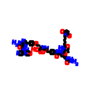 CC(C)[C@H](NC(=O)CCCCCN1C(=O)C=CC1=O)C(=O)N[C@@H](CCCNC(N)=O)C(=O)Nc1ccc(COC(=O)N[C@@H](CCOc2ccc(-c3cnc(N)c(C(=O)Nc4cnccc4N4CCOCC4)n3)cc2)C(=O)O)cc1